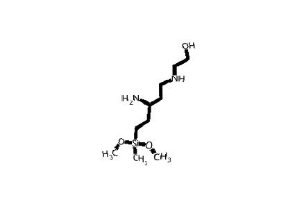 CO[Si](C)(CCC(N)CCNCCO)OC